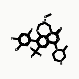 CO[C@H]1CSc2c(-c3cc(Cl)c(F)cc3F)c(C(F)(F)F)cc3c(N4CCNCC4C)nc(=O)n(c23)C1